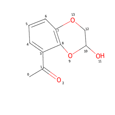 CC(=O)c1cccc2c1OC(O)CO2